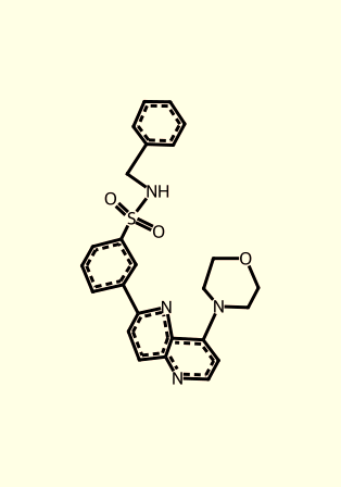 O=S(=O)(NCc1ccccc1)c1cccc(-c2ccc3nccc(N4CCOCC4)c3n2)c1